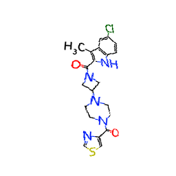 Cc1c(C(=O)N2CC(N3CCN(C(=O)c4cscn4)CC3)C2)[nH]c2ccc(Cl)cc12